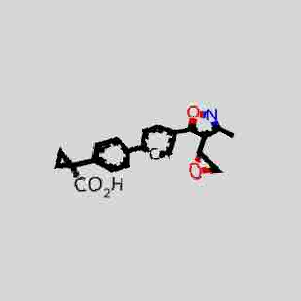 Cc1noc(-c2ccc(-c3ccc(C4(C(=O)O)CC4)cc3)cc2)c1C1CO1